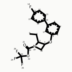 CCC1C(Oc2cccc(-c3ccc(F)cc3)c2)CN1C(=O)OC(F)(F)F